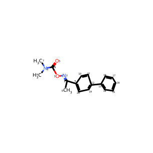 C/C(=N\OC(=O)N(C)C)c1ccc(-c2ccccc2)cc1